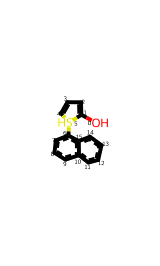 OC1=CC=C[SH]1c1cccc2ccccc12